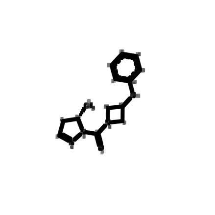 C[C@H]1CC=NN1C(=O)N1CC(Oc2ccccc2)C1